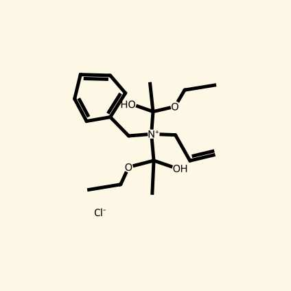 C=CC[N+](Cc1ccccc1)(C(C)(O)OCC)C(C)(O)OCC.[Cl-]